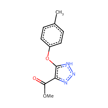 COC(=O)c1nn[nH]c1Oc1ccc(C)cc1